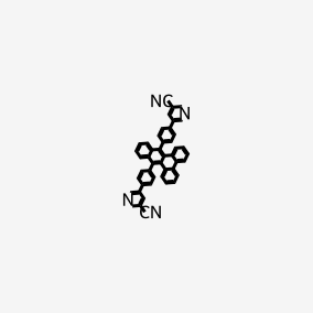 N#Cc1cncc(-c2ccc(-c3c4ccccc4c(-c4ccc(-c5cncc(C#N)c5)cc4)c4c5ccccc5c5ccccc5c34)cc2)c1